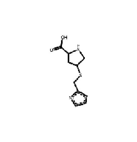 O=C(O)C1CC(SCc2cccs2)CN1